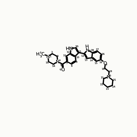 CN1CCN(C(=O)c2ccc3c(-c4[c]c5cc(OCCN6CCCCC6)ccc5[nH]4)c[nH]c3c2)CC1